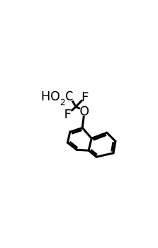 O=C(O)C(F)(F)Oc1cccc2ccccc12